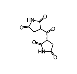 O=C1CC(C(=O)C2CC(=O)NC2=O)C(=O)N1